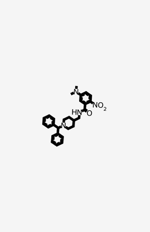 CN(C)c1ccc([N+](=O)[O-])c(C(=O)NCC2CCN(C(c3ccccc3)c3ccccc3)CC2)c1